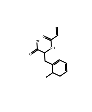 C=CC(=O)NC(CC1=CC=CCC1C)C(=O)O